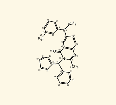 Cc1nc2ccc(N(C)c3cccc(C(F)(F)F)c3)cc2c(=O)n1C(c1ccccc1)c1ccccc1